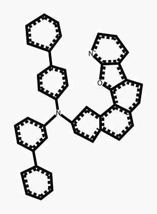 c1ccc(-c2ccc(N(c3cccc(-c4ccccc4)c3)c3ccc4ccc5ccc6c7cccnc7oc6c5c4c3)cc2)cc1